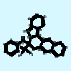 FC(F)(F)C1(Nc2ccccc2)Cc2cc3ccccc3cc2-c2c3ccccc3nn21